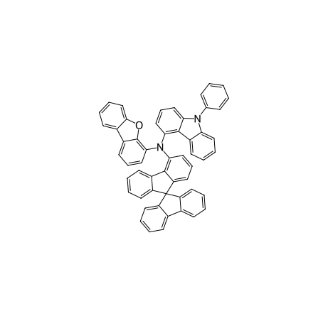 c1ccc(-n2c3ccccc3c3c(N(c4cccc5c4-c4ccccc4C54c5ccccc5-c5ccccc54)c4cccc5c4oc4ccccc45)cccc32)cc1